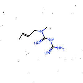 C/C=C/CN(C)C(=N)NC(=N)N